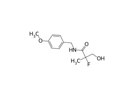 COc1ccc(CNC(=O)C(C)(F)CO)cc1